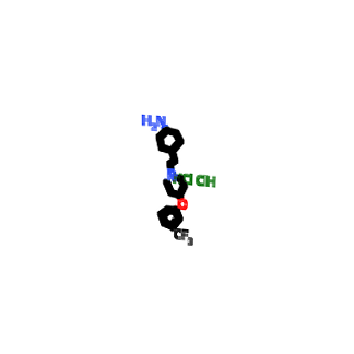 Cl.Cl.NC1CCC(CCN2CCC(Oc3cccc(C(F)(F)F)c3)CC2)CC1